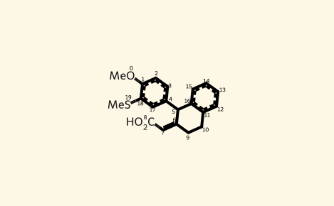 COc1ccc(C2/C(=C\C(=O)O)CCc3ccccc32)cc1SC